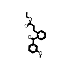 CCOC(=O)CCc1ccccc1C(=O)c1cccc(OC)c1